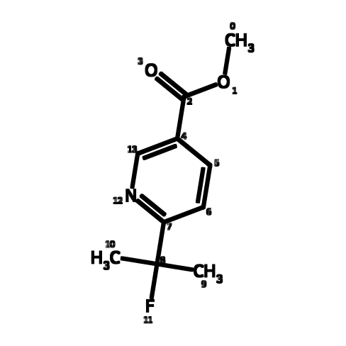 COC(=O)c1ccc(C(C)(C)F)nc1